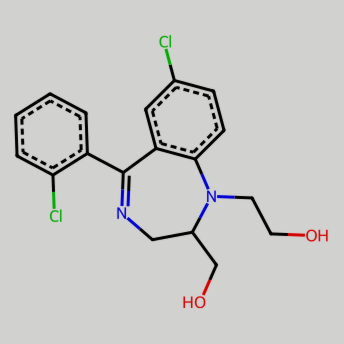 OCCN1c2ccc(Cl)cc2C(c2ccccc2Cl)=NCC1CO